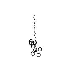 CCCCCCCCCCCCCCCCOC[C@H](COC(c1ccccc1)(c1ccccc1)c1ccccc1)Oc1ccon1